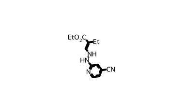 CCOC(=O)/C(=C/NNc1cc(C#N)ccn1)CC